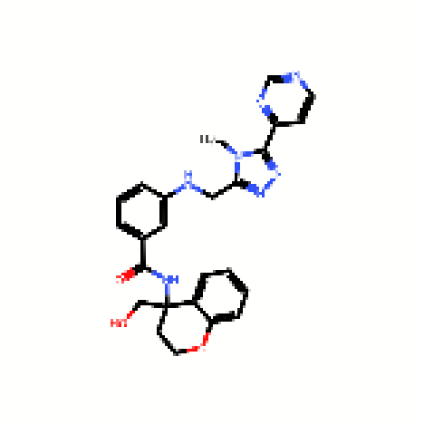 Cn1c(CNc2cccc(C(=O)NC3(CO)CCOc4ccccc43)c2)nnc1-c1ccncn1